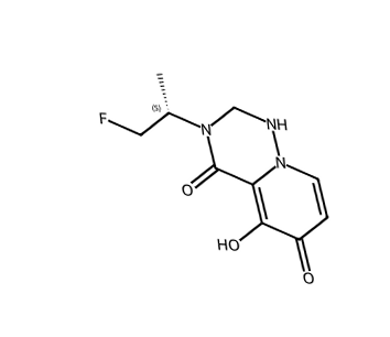 C[C@@H](CF)N1CNn2ccc(=O)c(O)c2C1=O